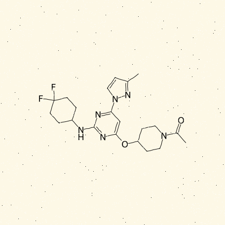 CC(=O)N1CCC(Oc2cc(-n3ccc(C)n3)nc(NC3CCC(F)(F)CC3)n2)CC1